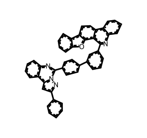 c1ccc(-c2cc3c4ccccc4nc(-c4ccc(-c5cccc(-c6nc7ccccc7c7ccc8c9ccccc9oc8c67)c5)cc4)n3n2)cc1